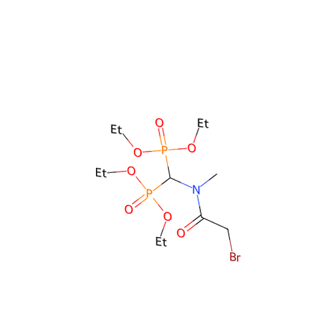 CCOP(=O)(OCC)C(N(C)C(=O)CBr)P(=O)(OCC)OCC